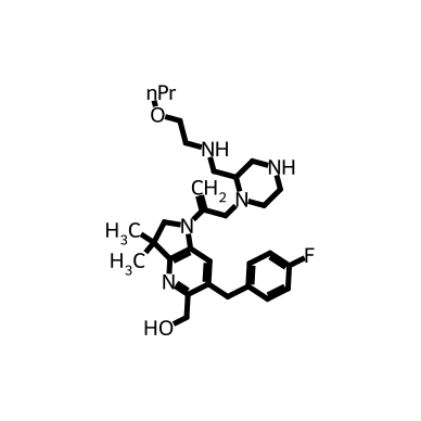 C=C(CN1CCNCC1CNCCOCCC)N1CC(C)(C)c2nc(CO)c(Cc3ccc(F)cc3)cc21